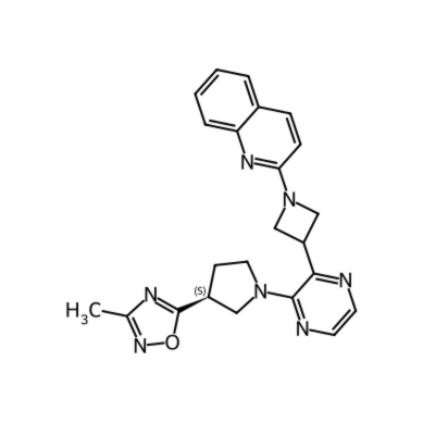 Cc1noc([C@H]2CCN(c3nccnc3C3CN(c4ccc5ccccc5n4)C3)C2)n1